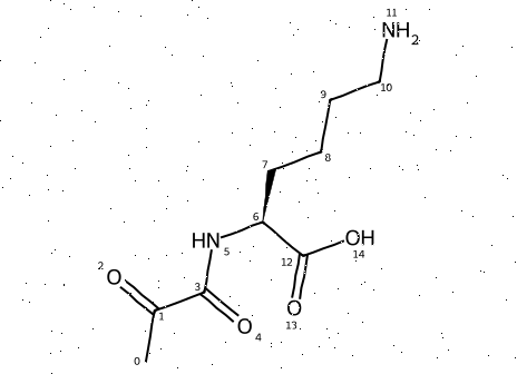 CC(=O)C(=O)N[C@@H](CCCCN)C(=O)O